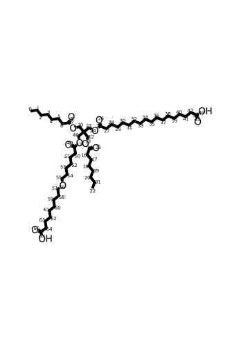 CCCCCCCC(=O)OCC(COC(=O)CCCCCCC)(COC(=O)CCCCCCCCCCCCCCCCC(=O)O)COC(=O)CCCCCCOCCCCCCCCC(=O)O